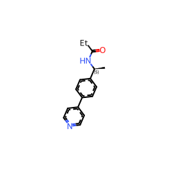 CCC(=O)N[C@@H](C)c1ccc(-c2ccncc2)cc1